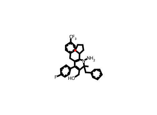 CC1(Cc2ccccc2)C(CO)=C(c2ccc(F)cc2)C(Cc2ccc(C(F)(F)F)cc2)=C(C2CCCC2)N1N